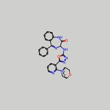 O=C1Nc2ccccc2C(c2ccccc2)=NC1Nc1nnc(-c2cccnc2N2CC3CCCC2CO3)o1